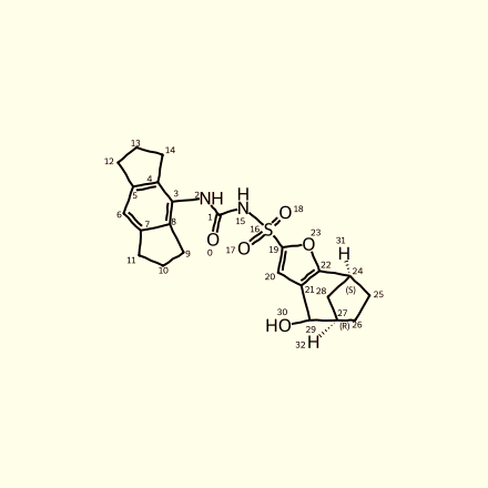 O=C(Nc1c2c(cc3c1CCC3)CCC2)NS(=O)(=O)c1cc2c(o1)[C@H]1CC[C@H](C1)C2O